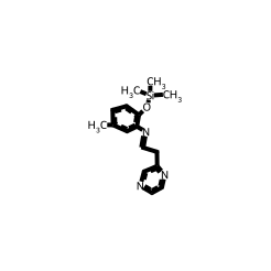 Cc1ccc(O[Si](C)(C)C)c(N=CCc2cnccn2)c1